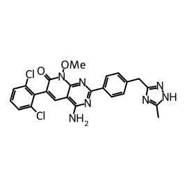 COn1c(=O)c(-c2c(Cl)cccc2Cl)cc2c(N)nc(-c3ccc(Cc4n[nH]c(C)n4)cc3)nc21